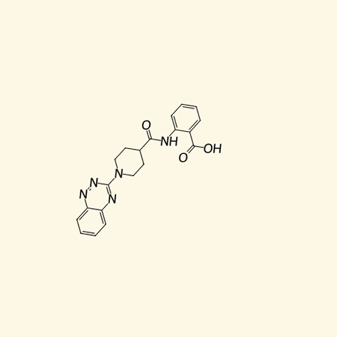 O=C(O)c1ccccc1NC(=O)C1CCN(c2nnc3ccccc3n2)CC1